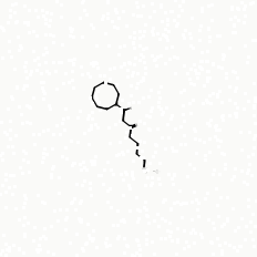 CCCCCCCCCCCCCCC(=O)CC(Cl)C1CCCCCCC1